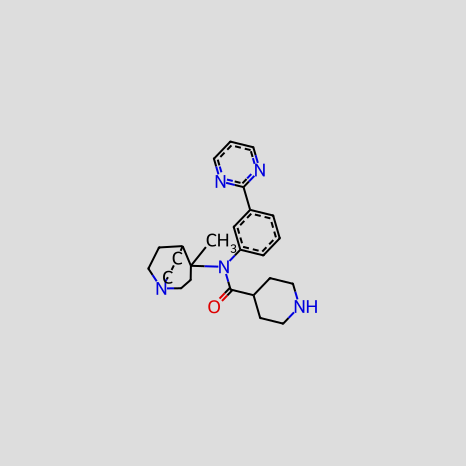 CC1(N(C(=O)C2CCNCC2)c2cccc(-c3ncccn3)c2)CCN2CCC1CC2